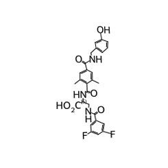 Cc1cc(C(=O)NCc2cccc(O)c2)cc(C)c1C(=O)N[C@@H](CNC(=O)c1cc(F)cc(F)c1)C(=O)O